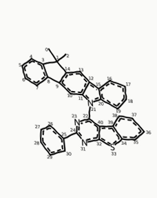 CC1(C)c2ccccc2-c2cc3c(cc21)c1ccccc1n3-c1nc(-c2ccccc2)nc2sc3ccccc3c12